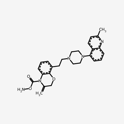 C=C1COc2c(CCN3CCN(c4cccc5nc(C)ccc45)CC3)cccc2N1C(=O)ON